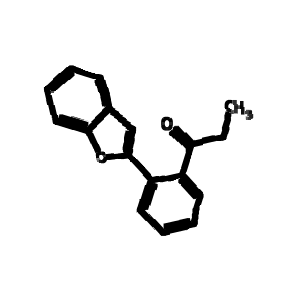 CCC(=O)c1ccccc1-c1cc2ccccc2o1